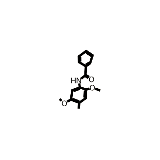 COc1cc(NC(=O)c2ccccc2)c(OC)cc1C